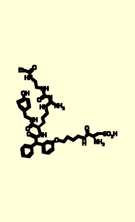 CCC(=O)NCCNC(=O)/N=C(/N)NCCC[C@@H](NC(=O)C(c1ccccc1)c1cccc(OCCCCNC(=O)[C@@H](N)CS(=O)(=O)O)c1)C(=O)NCc1ccc(O)cc1